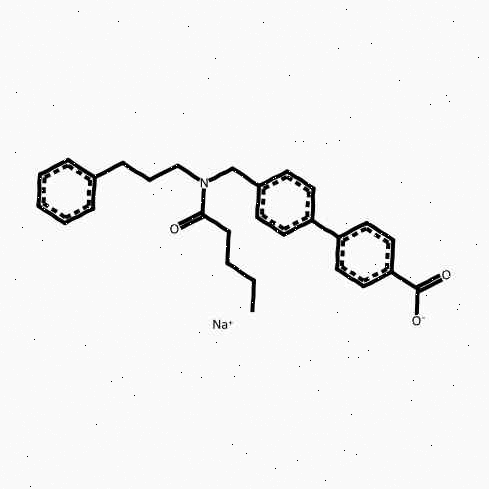 CCCCC(=O)N(CCCc1ccccc1)Cc1ccc(-c2ccc(C(=O)[O-])cc2)cc1.[Na+]